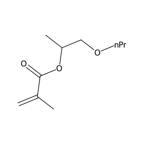 C=C(C)C(=O)OC(C)COCCC